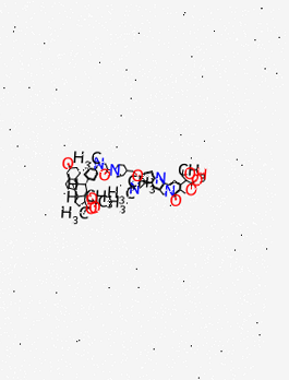 CC[C@@]1(O)C(=O)OCc2c1cc1n(c2=O)Cc2cc3c(CN(C)C)c(OCC4CCN(C(=O)CN(C)c5ccc([C@H]6C[C@@]7(C)[C@@H](CC[C@]7(OC(C)=O)C(C)=O)[C@@H]7CCC8=CC(=O)CCC8=C76)cc5)CC4)ccc3nc2-1